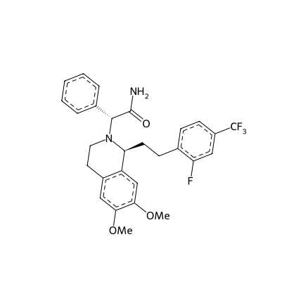 COc1cc2c(cc1OC)[C@H](CCc1ccc(C(F)(F)F)cc1F)N([C@@H](C(N)=O)c1ccccc1)CC2